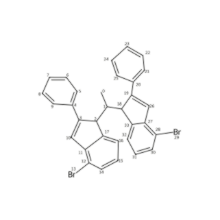 CC(C1C(c2ccccc2)=Cc2c(Br)cccc21)C1C(c2ccccc2)=Cc2c(Br)cccc21